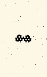 C1=CC(C=c2ccc3cccc4cccc2c43)c2cccc3cccc1c23